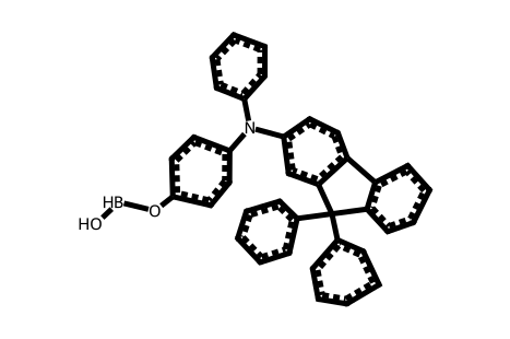 OBOc1ccc(N(c2ccccc2)c2ccc3c(c2)C(c2ccccc2)(c2ccccc2)c2ccccc2-3)cc1